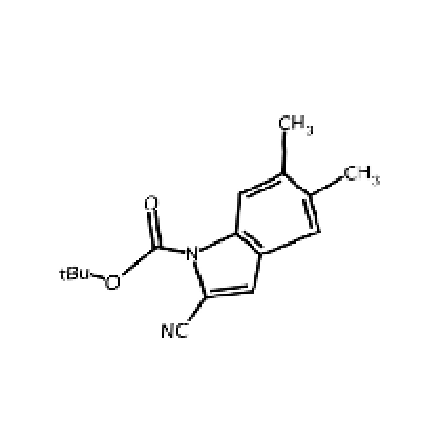 Cc1cc2cc(C#N)n(C(=O)OC(C)(C)C)c2cc1C